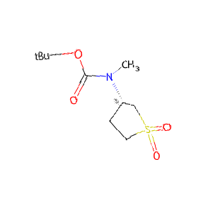 CN(C(=O)OC(C)(C)C)[C@H]1CCS(=O)(=O)C1